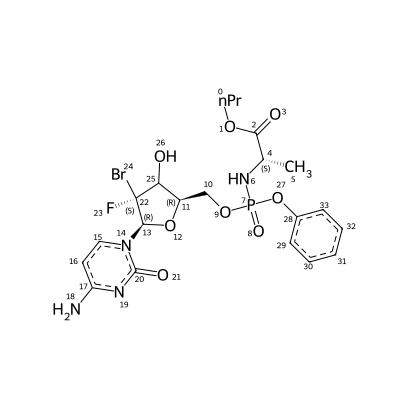 CCCOC(=O)[C@H](C)NP(=O)(OC[C@H]1O[C@@H](n2ccc(N)nc2=O)[C@@](F)(Br)C1O)Oc1ccccc1